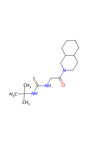 CC(C)(C)NC(=S)NCC(=O)N1CCC2CCCCC2C1